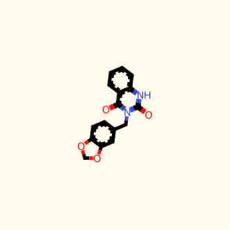 O=c1[nH]c2ccccc2c(=O)n1Cc1ccc2c(c1)OCO2